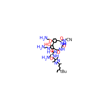 C=C/C(=C\C=C(/C)c1nc(C)c(C(=O)N[C@@H](CCN)C(=O)N(C)[C@@H]2C(=O)N[C@@H](C)C(=O)N[C@H](C(=O)NCC#N)Cc3ccc(OCCN)c(c3)-c3cc2cc(NCCN)c3O)c(C)n1)C(C)(C)C